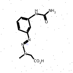 CN(CC(=O)O)/N=N/c1cccc(NC(N)=O)c1